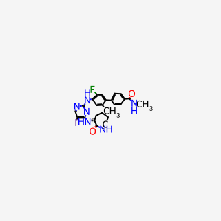 CNC(=O)c1ccc(-c2cc(F)c(Nc3ncc(I)c(N[C@@H]4CCCCNC4=O)n3)cc2C)cc1